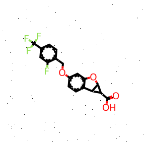 O=C(O)C1C2Oc3cc(OCc4ccc(C(F)(F)F)cc4F)ccc3C21